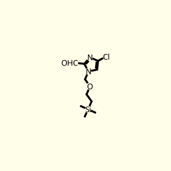 C[Si](C)(C)CCOCn1cc(Cl)nc1C=O